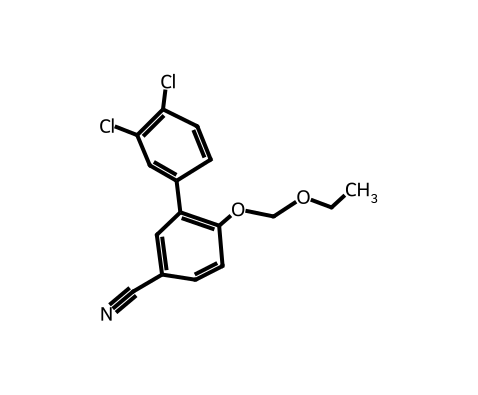 CCOCOc1ccc(C#N)cc1-c1ccc(Cl)c(Cl)c1